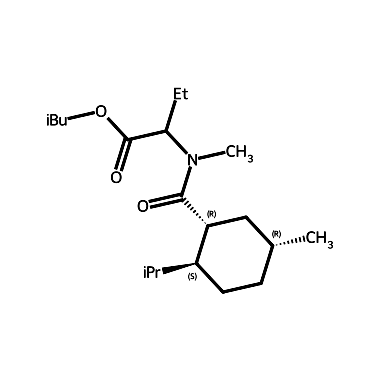 CCC(C)OC(=O)C(CC)N(C)C(=O)[C@@H]1C[C@H](C)CC[C@H]1C(C)C